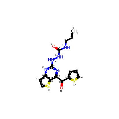 C=CCNC(=O)NNc1nc(C(=O)c2cccs2)c2sccc2n1